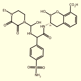 CCN1CCN(C(O)NC(C(=O)N[C@H]2Cc3cccc(C(=O)O)c3OB2O)c2ccc(S(N)(=O)=O)cc2)C(=O)C1=O